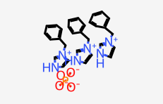 O=P([O-])([O-])[O-].c1ccc(C[n+]2cc[nH]c2)cc1.c1ccc(C[n+]2cc[nH]c2)cc1.c1ccc(C[n+]2cc[nH]c2)cc1